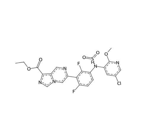 CCOC(=O)c1ncn2cc(-c3c(F)ccc(N(c4cc(Cl)cnc4OC)[SH](=O)=O)c3F)ncc12